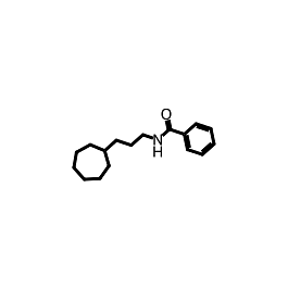 O=C(NCCCC1CCCCCC1)c1ccccc1